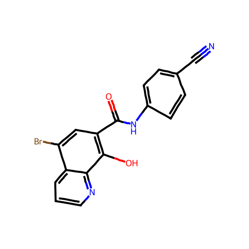 N#Cc1ccc(NC(=O)c2cc(Br)c3cccnc3c2O)cc1